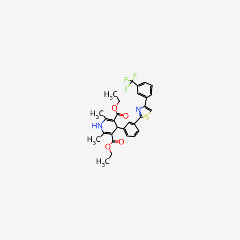 CCOC(=O)C1=C(C)NC(C)=C(C(=O)OCC)C1c1cccc(-c2nc(-c3cccc(C(F)(F)F)c3)cs2)c1